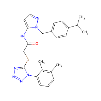 Cc1cccc(-n2nnnc2SCC(=O)Nc2ccnn2Cc2ccc(C(C)C)cc2)c1C